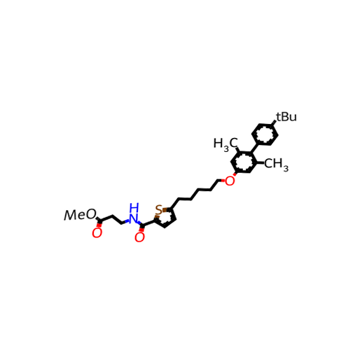 COC(=O)CCNC(=O)c1ccc(CCCCCOc2cc(C)c(-c3ccc(C(C)(C)C)cc3)c(C)c2)s1